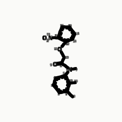 Cc1cccc(N(C)C(=O)COc2ccccc2[N+](=O)[O-])c1C